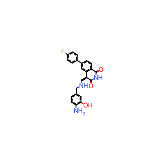 Nc1ccc(CN/C=C2\C(=O)NC(=O)c3ccc(-c4ccc(F)cc4)cc32)cc1O